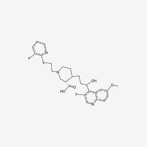 COc1ccc2ncc(F)c(C(O)CCC3CCN(CCSc4ncccc4F)C[C@H]3C(=O)O)c2c1